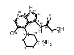 N[C@@H]1CCCN(c2c(Cl)cnc3[nH]cc(NC(=O)CO)c23)C1